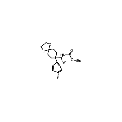 CCCC(NC(=O)OC(C)(C)C)C1(c2ccc(F)cc2)CCC2(CC1)OCCO2